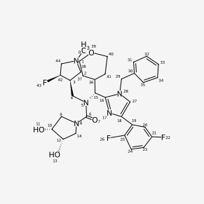 CN1C[C@@H](CN(C(=O)N2C[C@@H](O)[C@@H](O)C2)[C@@H](c2nc(-c3cc(F)ccc3F)cn2Cc2ccccc2)C2CCOCC2)[C@@H](F)C1